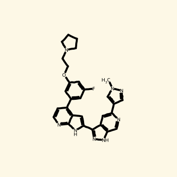 Cn1cc(-c2cc3c(-c4cc5c(-c6cc(F)cc(OCCN7CCCC7)c6)ccnc5[nH]4)n[nH]c3cn2)cn1